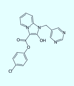 O=C(Oc1ccc(Cl)cc1)c1c(O)n(Cc2cncnc2)c2cccc[n+]12